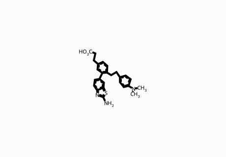 CN(C)c1ccc(CCc2ccc(CCC(=O)O)cc2-c2ccc3nc(N)sc3c2)cc1